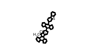 CC1(C)c2cc(-c3c4ccccc4c(-c4ccc5c(c4)sc4ccccc45)c4ccccc34)ccc2-c2c1c1ccccc1c1ccccc21